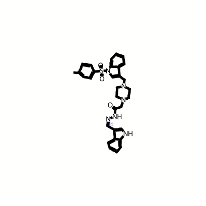 Cc1ccc(S(=O)(=O)n2cc(CN3CCN(CC(=O)N/N=C\c4c[nH]c5ccccc45)CC3)c3ccccc32)cc1